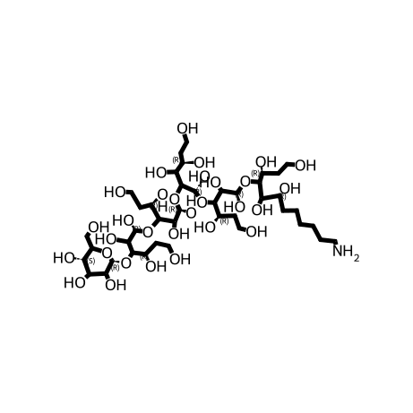 NCCCCCC[C@@H](O)C(O)C(O[C@@H](O)C(O)C(O[C@@H](O)C(O[C@@H](O)C(O)C(O[C@@H](O)C(O)C(O[C@H]1OC(CO)[C@@H](O)C(O)C1O)[C@H](O)CCO)[C@H](O)CCO)C(O)[C@H](O)CCO)[C@H](O)CCO)[C@H](O)CCO